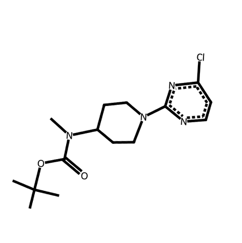 CN(C(=O)OC(C)(C)C)C1CCN(c2nccc(Cl)n2)CC1